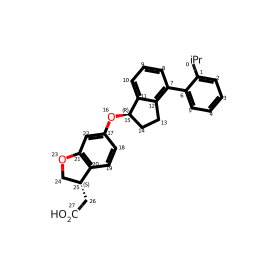 CC(C)c1ccccc1-c1cccc2c1CC[C@H]2Oc1ccc2c(c1)OC[C@H]2CC(=O)O